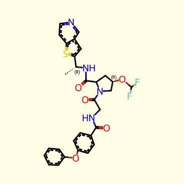 C[C@@H](NC(=O)C1C[C@@H](OC(F)F)CN1C(=O)CNC(=O)c1ccc(Oc2ccccc2)cc1)c1cc2cnccc2s1